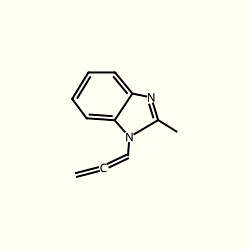 C=C=Cn1c(C)nc2ccccc21